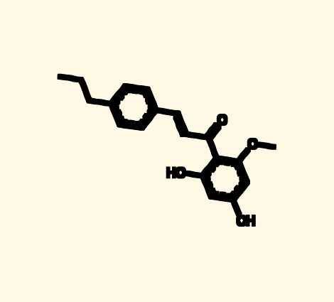 CCCc1ccc(/C=C/C(=O)c2c(O)cc(O)cc2OC)cc1